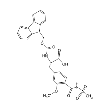 COc1cc(C[C@H](NC(=O)OCC2c3ccccc3-c3ccccc32)C(=O)O)ccc1C(=O)NS(C)(=O)=O